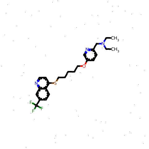 CCN(CC)Cc1ccc(OCCCCCSc2ccnc3cc(C(F)(F)F)ccc23)cn1